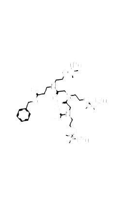 CCC(=O)N(CCO[Si](C)(C)C(C)(C)C)CC(=O)N(CCO[Si](C)(C)C(C)(C)C)CC(=O)N(CCO[Si](C)(C)C(C)(C)C)CCC(=O)OCc1ccccc1